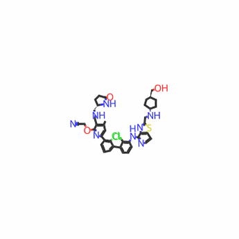 Cc1cc(-c2cccc(-c3cccc(Nc4nccc5sc(CN[C@H]6CC[C@H](CO)CC6)nc45)c3Cl)c2Cl)nc(OCC#N)c1CNC[C@@H]1CCC(=O)N1